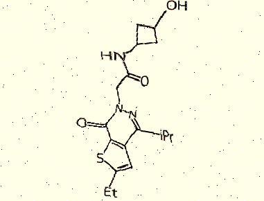 CCc1cc2c(C(C)C)nn(CC(=O)NC3CC(O)C3)c(=O)c2s1